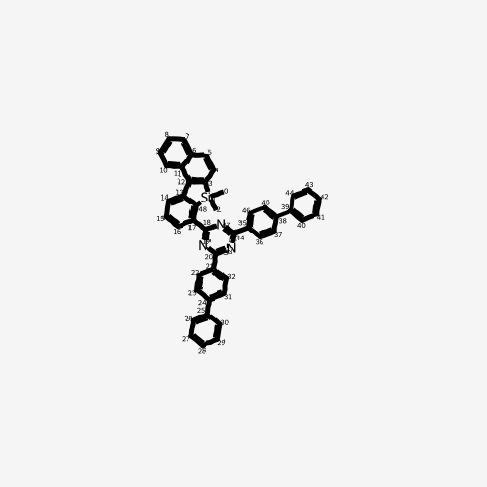 C[Si]1(C)c2ccc3ccccc3c2-c2cccc(-c3nc(-c4ccc(-c5ccccc5)cc4)nc(-c4ccc(-c5ccccc5)cc4)n3)c21